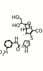 C[C@H]1C(S[C@@H]2CN[C@H](C(=O)Nc3cccc(C(=O)O)c3)C2)=C(C(=O)O)N2O[C@H](C(O)CO)[C@H]12